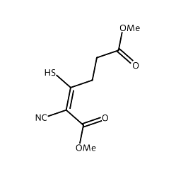 COC(=O)CC/C(S)=C(/C#N)C(=O)OC